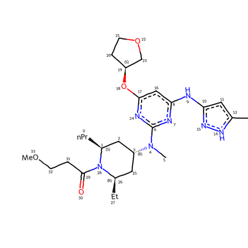 CCC[C@H]1C[C@H](N(C)c2nc(Nc3cc(C)[nH]n3)cc(O[C@H]3CCOC3)n2)C[C@@H](CC)N1C(=O)CCOC